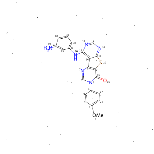 COc1ccc(-n2cnc3c(sc4ncnc(Nc5cccc(N)c5)c43)c2=O)cc1